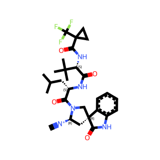 C#[N+][C@@H]1C[C@@]2(CN1C(=O)[C@H](CC(C)C)NC(=O)[C@@H](NC(=O)C1(C(F)(F)F)CC1)C(C)(C)C)C(=O)Nc1ccccc12